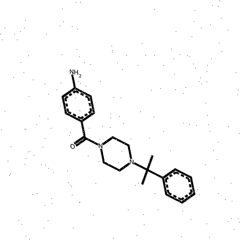 CC(C)(c1ccccc1)N1CCN(C(=O)c2ccc(N)cc2)CC1